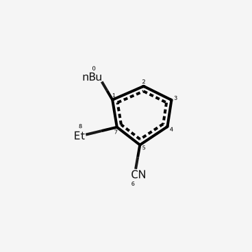 [CH2]CCCc1cccc(C#N)c1CC